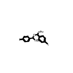 CCCCC(OC(CCCC)c1ccc(I)cc1)c1ccc(I)cc1